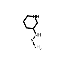 NSNC1CCCNC1